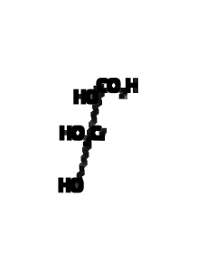 C=C(C)C(=O)O.CC(=CC(O)CCCCCCCCCCCCCCCCCCCO)C(=O)O